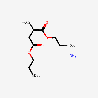 CCCCCCCCCCCCOC(=O)CC(C(=O)OCCCCCCCCCCCC)S(=O)(=O)O.N